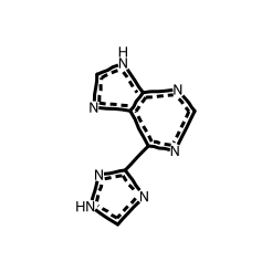 c1nc(-c2nc[nH]n2)c2nc[nH]c2n1